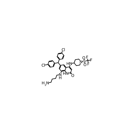 NCCCCNc1cc(C(c2ccc(Cl)cc2)c2ccc(Cl)cc2)cc2c(NC3CCN(S(=O)(=O)C(F)(F)F)CC3)cc(=O)[nH]c12